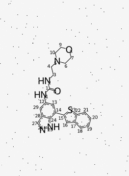 O=C(NCCN1CCOCC1)Nc1cc(-c2cc3ccccc3s2)c2[nH]ncc2c1